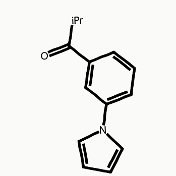 CC(C)C(=O)c1cccc(-n2cccc2)c1